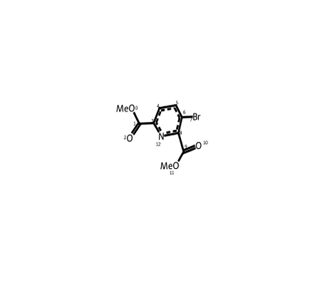 COC(=O)c1ccc(Br)c(C(=O)OC)n1